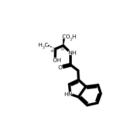 C[C@@H](O)[C@H](NC(=O)Cc1c[nH]c2ccccc12)C(=O)O